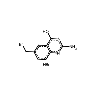 Br.Nc1nc(O)c2cc(CBr)ccc2n1